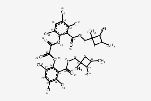 CCC1C(C)CC1(C)COC(=O)c1c(Cl)c(Cl)cc(Cl)c1OC(=O)C(=O)Oc1c(Cl)cc(Cl)c(Cl)c1C(=O)OCC1(C)CC(C)C1CC